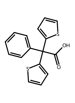 O=C(O)C(c1ccccc1)(c1cccs1)c1cccs1